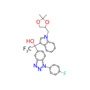 CC1(C)OCC(Cn2cc(C(O)(c3ccc4c(c3)nnn4-c3ccc(F)cc3)C(F)(F)F)c3ccccc32)O1